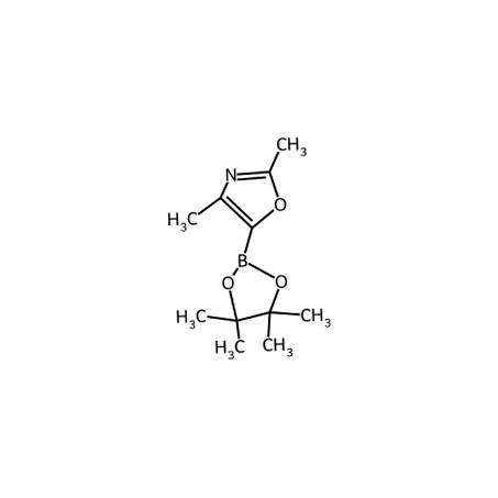 Cc1nc(C)c(B2OC(C)(C)C(C)(C)O2)o1